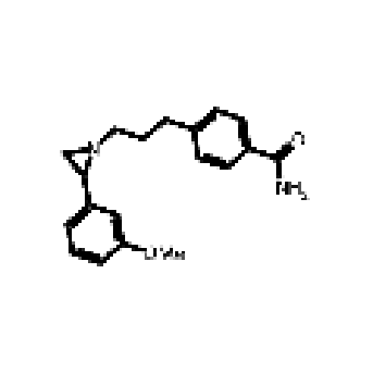 COc1cccc(C2CN2CCCc2ccc(C(N)=O)cc2)c1